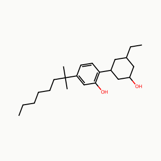 CCCCCCC(C)(C)c1ccc(C2CC(O)CC(CC)C2)c(O)c1